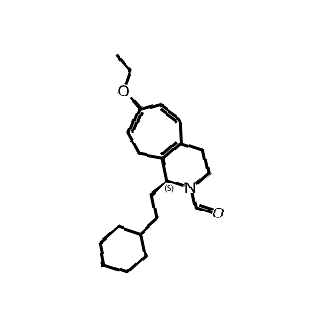 CCOC1=CCC2=C(C=C1)CCN(C=O)[C@H]2CCC1CCCCC1